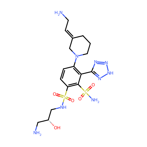 NCC=C1CCCN(c2ccc(S(=O)(=O)NC[C@H](O)CN)c(S(N)(=O)=O)c2-c2nn[nH]n2)C1